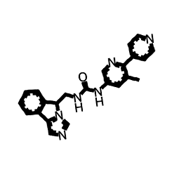 Cc1cc(NC(=O)NCC2c3ccccc3-c3cncn32)cnc1-c1ccncc1